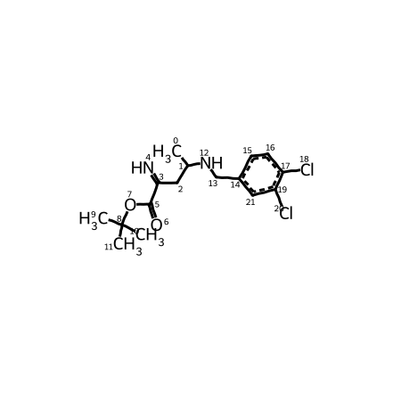 CC(CC(=N)C(=O)OC(C)(C)C)NCc1ccc(Cl)c(Cl)c1